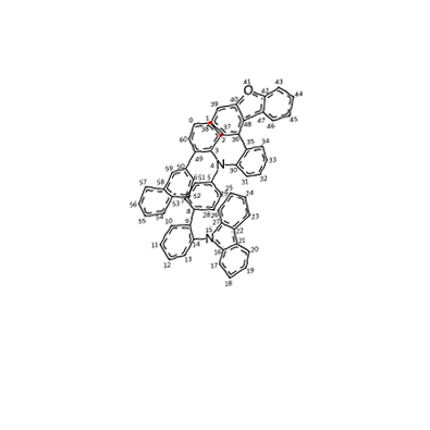 c1ccc(N(c2ccc(-c3ccccc3-n3c4ccccc4c4ccccc43)cc2)c2ccccc2-c2cccc3oc4ccccc4c23)c(-c2ccc3ccccc3c2)c1